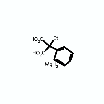 CCC(C(=O)O)(C(=O)O)c1ccccc1.[MgH2]